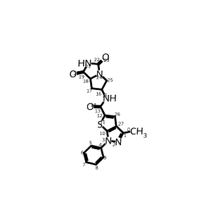 Cc1nn(-c2ccccc2)c2sc(C(=O)NC3CC4C(=O)NC(=O)N4C3)cc12